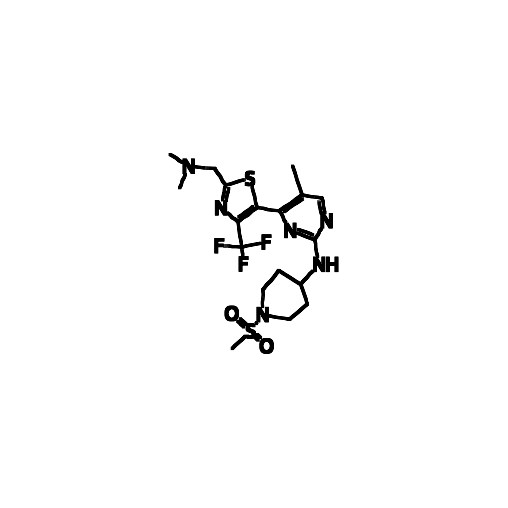 Cc1cnc(NC2CCN(S(C)(=O)=O)CC2)nc1-c1sc(CN(C)C)nc1C(F)(F)F